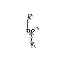 Cc1ccc(OCCOCCCc2cc(C)on2)c(-c2cc(OCCCCOCc3cc(C)on3)ccc2C)c1